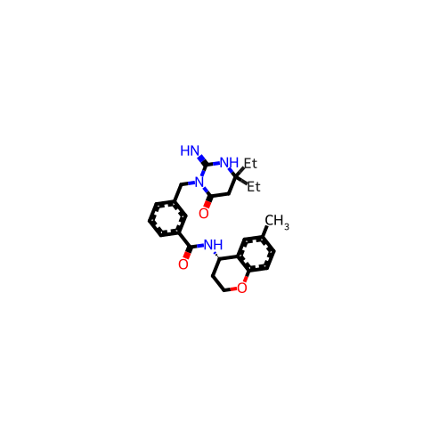 CCC1(CC)CC(=O)N(Cc2cccc(C(=O)N[C@H]3CCOc4ccc(C)cc43)c2)C(=N)N1